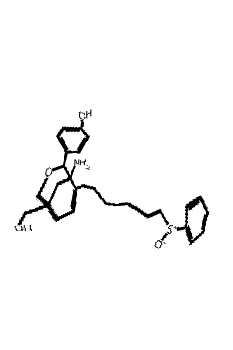 NC12CC(CO)(CC=C1CCCCC[S+]([O-])c1ccccc1)COC2c1ccc(O)cc1